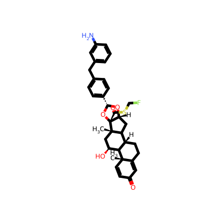 C[C@]12C=CC(=O)C=C1CC[C@@H]1C2[C@@H](O)C[C@@]2(C)C1C[C@H]1O[C@@H](c3ccc(Cc4cccc(N)c4)cc3)O[C@]12C(=O)SCF